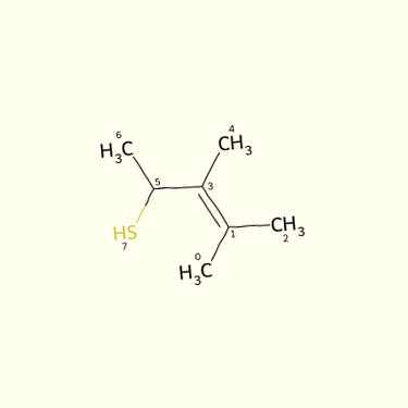 CC(C)=C(C)C(C)S